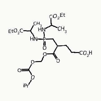 CCOC(=O)C(C)NP(=O)(CC(CCC(=O)O)C(=O)OCOC(=O)OC(C)C)NC(C)C(=O)OCC